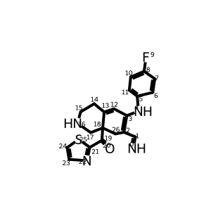 N=CC1=C(Nc2ccc(F)cc2)C=C2CCNCC2(C(=O)c2nccs2)C1